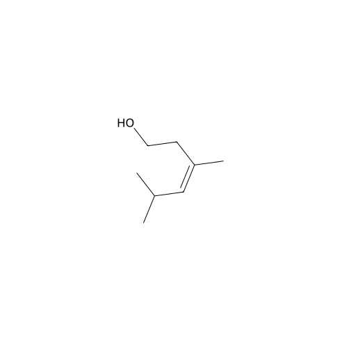 CC(=CC(C)C)CCO